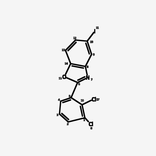 Clc1cccc(-c2nc3cc(I)ccc3o2)c1Cl